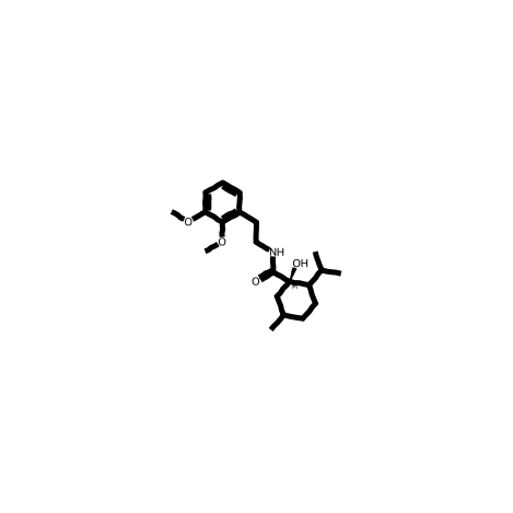 COc1cccc(CCNC(=O)[C@@]2(O)CC(C)CCC2C(C)C)c1OC